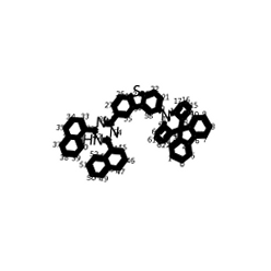 c1ccc2c(c1)-c1ccccc1C21c2ccccc2N(c2ccc3sc4ccc(C5=NC(c6cccc7ccccc67)NC(c6cccc7ccccc67)=N5)cc4c3c2)c2ccccc21